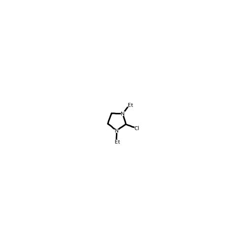 CCN1CCN(CC)C1Cl